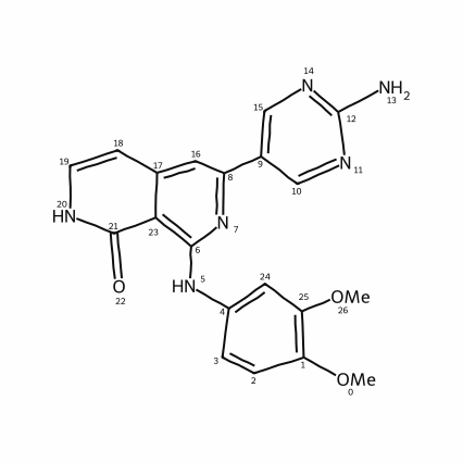 COc1ccc(Nc2nc(-c3cnc(N)nc3)cc3cc[nH]c(=O)c23)cc1OC